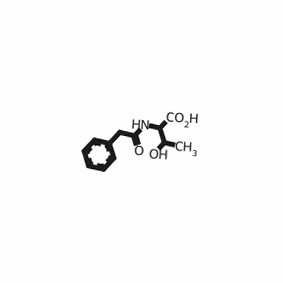 CC(O)C(NC(=O)Cc1ccccc1)C(=O)O